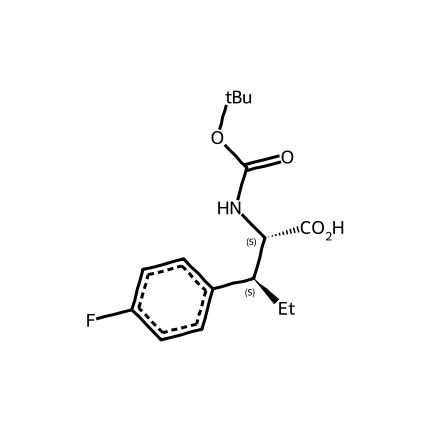 CC[C@@H](c1ccc(F)cc1)[C@H](NC(=O)OC(C)(C)C)C(=O)O